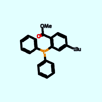 COC(=O)c1ccc(C(C)(C)C)cc1P(c1ccccc1)c1ccccc1